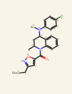 COCc1cc(C(=O)N2c3ccccc3C(N(C(C)=O)c3ccc(Cl)cc3)CC2C)on1